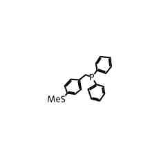 CSc1ccc(CP(c2ccccc2)c2ccccc2)cc1